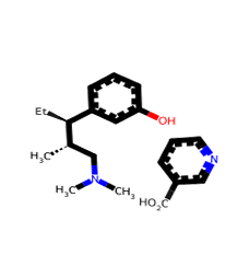 CC[C@@H](c1cccc(O)c1)[C@@H](C)CN(C)C.O=C(O)c1cccnc1